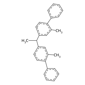 Cc1cc(C(C)c2ccc(-c3ccccc3)c(C)c2)ccc1-c1ccccc1